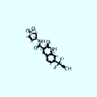 C#CC(F)(F)c1ccc2cc(C(=O)N[C@@H]3C=CS(=O)(=O)C3)c(=O)[nH]c2c1